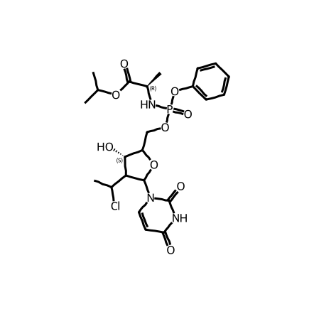 CC(C)OC(=O)[C@@H](C)NP(=O)(OCC1OC(n2ccc(=O)[nH]c2=O)C(C(C)Cl)[C@@H]1O)Oc1ccccc1